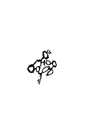 COc1ccc(CCc2ccccc2OC[C@H](CN(C)C)OC(=O)c2ccccc2O)cc1